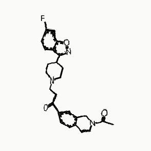 CC(=O)N1CCc2ccc(C(=O)CCN3CCC(c4noc5cc(F)ccc45)CC3)cc2C1